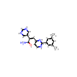 NC(=O)/C(=C\c1ccnc(-c2cc(C(F)(F)F)cc(C(F)(F)F)c2)n1)c1cncnc1